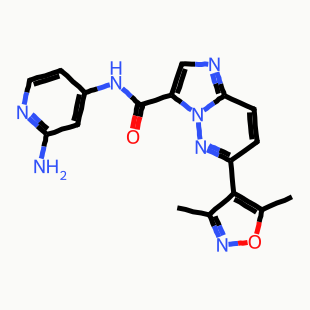 Cc1noc(C)c1-c1ccc2ncc(C(=O)Nc3ccnc(N)c3)n2n1